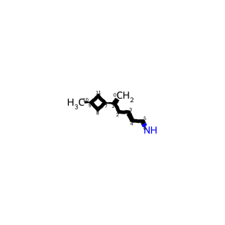 C=C(C/C=C/C=N)[C@H]1C[C@@H](C)C1